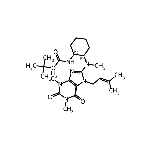 CC(C)=CCn1c(N(C)[C@@H]2CCCC[C@@H]2NC(=O)OC(C)(C)C)nc2c1c(=O)n(C)c(=O)n2C